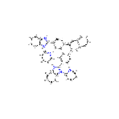 c1ccc(-n2c(-c3ccc(-c4cc5ccccc5cc4-c4ccc(-c5nc6ccccc6n5-c5ccccn5)cc4)cc3)nc3ccccc32)nc1